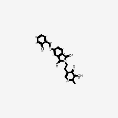 CC1=NC=C(CCN2C(=O)c3ccc(OCc4ccccc4Cl)cc3C2=O)C(=O)C1O